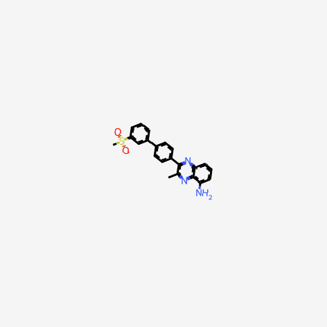 Cc1nc2c(N)cccc2nc1-c1ccc(-c2cccc(S(C)(=O)=O)c2)cc1